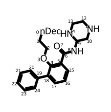 CCCCCCCCCCCCOc1c(C(=O)NC2CNCCN2)cccc1-c1ccccc1